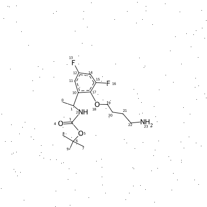 CC(NC(=O)OC(C)(C)C)c1cc(F)cc(F)c1OCCCCN